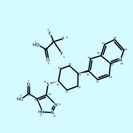 O=C(O)C(F)(F)F.O=C(O)c1[nH]nnc1S[C@H]1CC[C@H](c2ccc3ncccc3c2)CC1